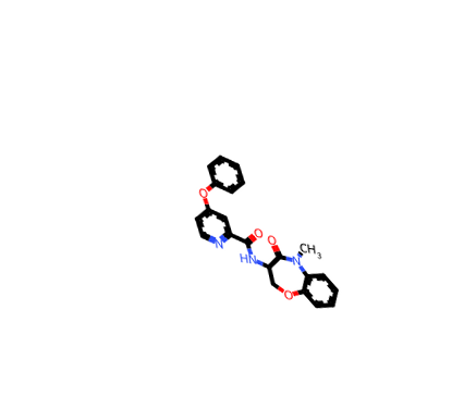 CN1C(=O)C(NC(=O)c2cc(Oc3ccccc3)ccn2)COc2ccccc21